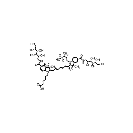 CC(CC[N+]1=C(/C=C/C=C/C=C/C=C2/N(CCCCCC(=O)O)c3ccc(C(=O)NC[C@H](O)[C@@H](O)[C@H](O)[C@H](O)CO)cc3C2(C)C)C(C)(C)c2cc(C(=O)NC[C@H](O)[C@@H](O)[C@H](O)[C@H](O)CO)ccc21)S(=O)(=O)O